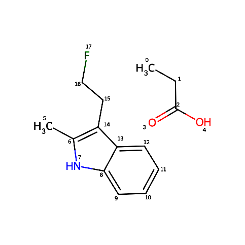 CCC(=O)O.Cc1[nH]c2ccccc2c1CCF